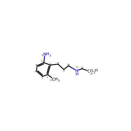 Cc1cccc(N)c1CCCNCC(=O)O